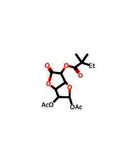 CCC(C)(C)C(=O)OC1C(=O)OC2C(OC(C)=O)C(OC(C)=O)OC12